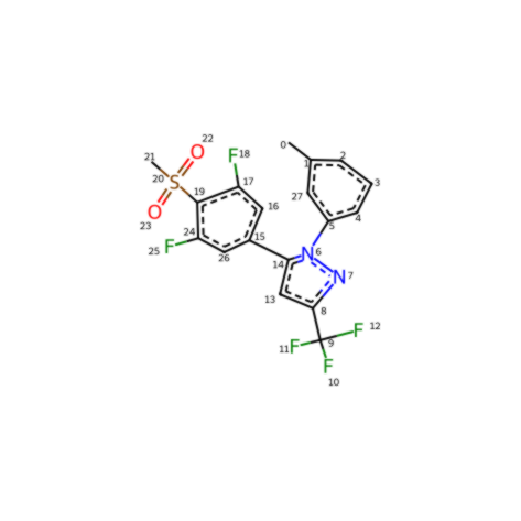 Cc1cccc(-n2nc(C(F)(F)F)cc2-c2cc(F)c(S(C)(=O)=O)c(F)c2)c1